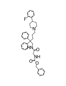 O=C(CNC(=O)OCc1ccccc1)NCC(CCCN1CCC(c2ccccc2F)CC1)(c1ccccc1)c1ccccc1